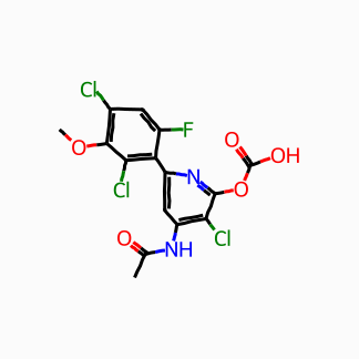 COc1c(Cl)cc(F)c(-c2cc(NC(C)=O)c(Cl)c(OC(=O)O)n2)c1Cl